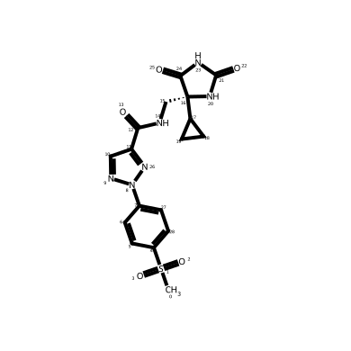 CS(=O)(=O)c1ccc(-n2ncc(C(=O)NC[C@@]3(C4CC4)NC(=O)NC3=O)n2)cc1